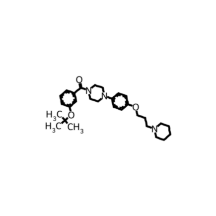 CC(C)(C)Oc1cccc(C(=O)N2CCN(c3ccc(OCCCN4CCCCC4)cc3)CC2)c1